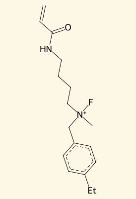 C=CC(=O)NCCCC[N+](C)(F)Cc1ccc(CC)cc1